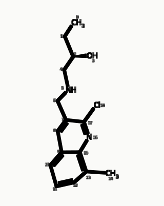 CC[C@@H](O)CNCc1cc2cccc(C)c2nc1Cl